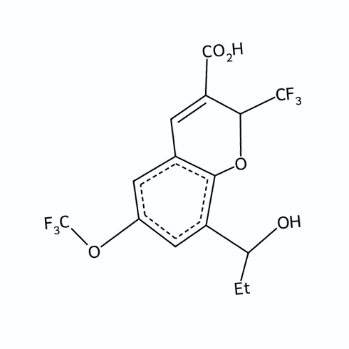 CCC(O)c1cc(OC(F)(F)F)cc2c1OC(C(F)(F)F)C(C(=O)O)=C2